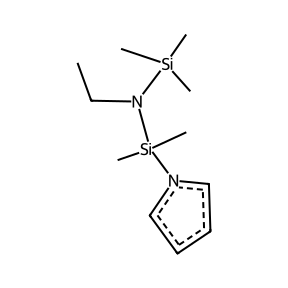 CCN([Si](C)(C)C)[Si](C)(C)n1cccc1